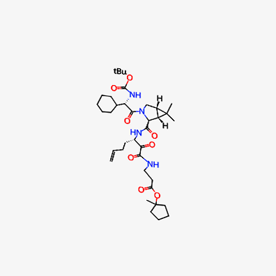 C=CCC[C@H](NC(=O)[C@@H]1[C@@H]2[C@H](CN1C(=O)[C@@H](NC(=O)OC(C)(C)C)C1CCCCC1)C2(C)C)C(=O)C(=O)NCCC(=O)OC1(C)CCCC1